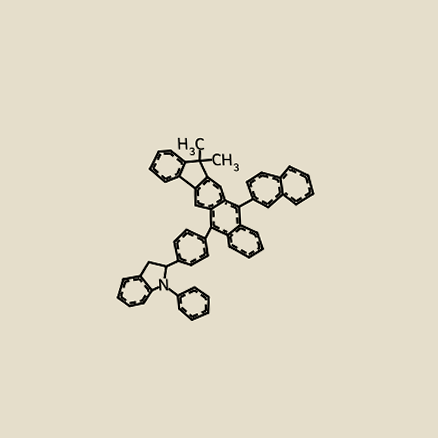 CC1(C)c2ccccc2-c2cc3c(-c4ccc(C5Cc6ccccc6N5c5ccccc5)cc4)c4ccccc4c(-c4ccc5ccccc5c4)c3cc21